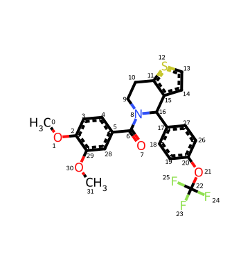 COc1ccc(C(=O)N2CCc3sccc3C2c2ccc(OC(F)(F)F)cc2)cc1OC